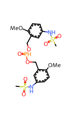 COc1ccc(NS(C)(=O)=O)cc1CO[PH](=O)OCc1cc(NS(C)(=O)=O)ccc1OC